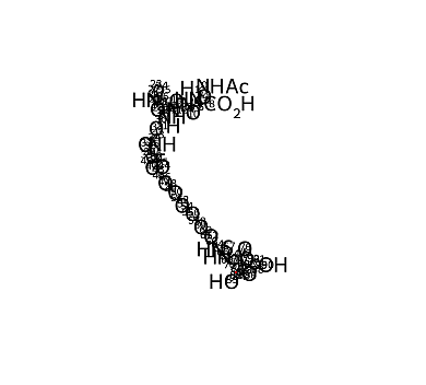 CC(=O)NCC(=O)N[C@@H](CCC(=O)O)C(=O)NCC(=O)N[C@@H](Cc1c[nH]c2ccccc12)C(=O)NCCOCCNC(=O)c1ccc(OC(=O)CCOCCOCCOCCOCCOCCOCCNC(=S)Nc2ccc3c(c2)C(=O)OC32c3ccc(O)cc3Oc3cc(O)ccc32)c(F)c1